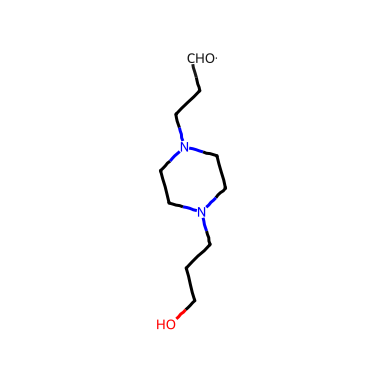 O=[C]CCN1CCN(CCCO)CC1